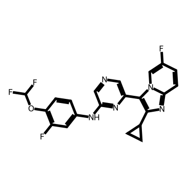 Fc1ccc2nc(C3CC3)c(-c3cncc(Nc4ccc(OC(F)F)c(F)c4)n3)n2c1